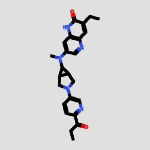 CCC(=O)c1ccc(N2CC3C(C2)C3N(C)c2cnc3cc(CC)c(=O)[nH]c3c2)cn1